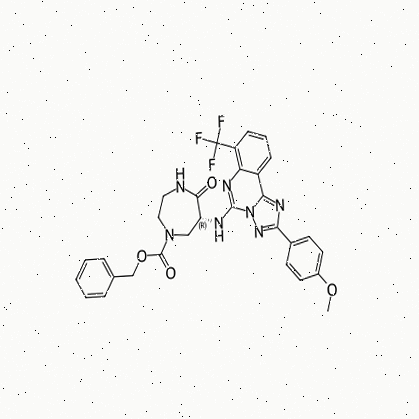 COc1ccc(-c2nc3c4cccc(C(F)(F)F)c4nc(N[C@@H]4CN(C(=O)OCc5ccccc5)CCNC4=O)n3n2)cc1